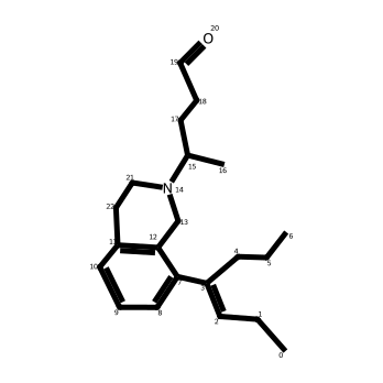 CC/C=C(\CCC)c1cccc2c1CN(C(C)CCC=O)CC2